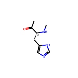 CN[C@H](Cc1cnc[nH]1)C(C)=O